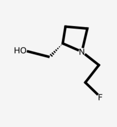 OC[C@@H]1CCN1CCF